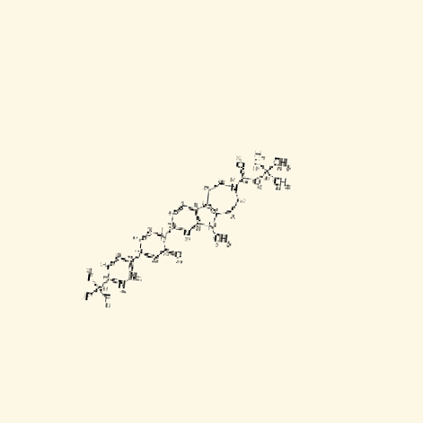 Cn1c2c(c3ccc(-n4ccc(-c5ccc(C(F)(F)F)nn5)cc4=O)nc31)CCN(C(=O)OC(C)(C)C)CC2